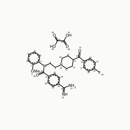 COc1ccccc1N(CCN1CCC(C(=O)c2ccc(F)cc2)CC1)C(=O)c1ccc(C(=N)N)cc1.O=C(O)C(=O)O